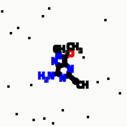 C#Cc1nc(N)c2nn(C)c(OC)c2n1